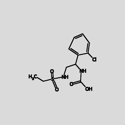 CCS(=O)(=O)NCC(NC(=O)O)c1ccccc1Cl